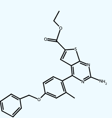 CCOC(=O)c1cc2c(-c3ccc(OCc4ccccc4)cc3C)nc(N)nc2s1